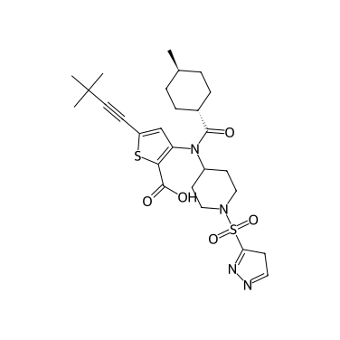 CC(C)(C)C#Cc1cc(N(C(=O)[C@H]2CC[C@H](C)CC2)C2CCN(S(=O)(=O)C3=NN=CC3)CC2)c(C(=O)O)s1